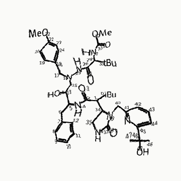 CCC(C)C(C(=O)NC(Cc1ccccc1)C(O)CN(Cc1ccc(OC)cc1)NC(=O)C(NC(=O)OC)C(C)(C)C)C1CNC(=O)N1Cc1cccc(C(C)(C)O)n1